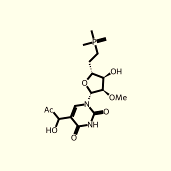 C=P(C)(C)CC[C@H]1O[C@@H](n2cc(C(O)C(C)=O)c(=O)[nH]c2=O)[C@H](OC)[C@@H]1O